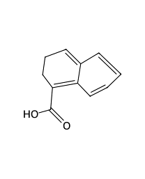 O=C(O)C1=c2ccccc2=CCC1